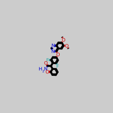 COc1cc2ncnc(Oc3cc(F)c(C(C(N)=O)C4C=CC=CC4=O)c(F)c3)c2cc1OC